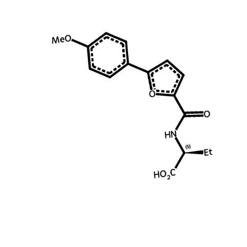 CC[C@H](NC(=O)c1ccc(-c2ccc(OC)cc2)o1)C(=O)O